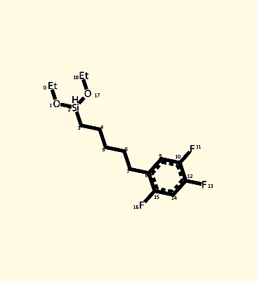 CCO[SiH](CCCCCc1cc(F)c(F)cc1F)OCC